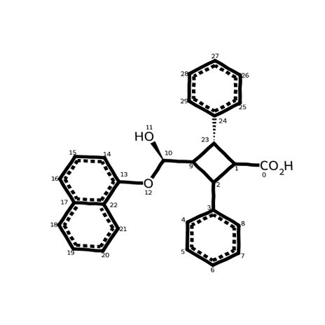 O=C(O)C1C(c2ccccc2)C([C@H](O)Oc2cccc3ccccc23)[C@@H]1c1ccccc1